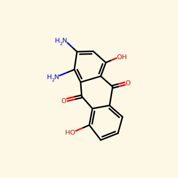 Nc1cc(O)c2c(c1N)C(=O)c1c(O)cccc1C2=O